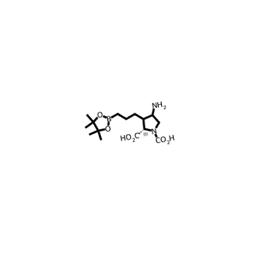 CC1(C)OB(CCCC2C(N)CN(C(=O)O)[C@@H]2C(=O)O)OC1(C)C